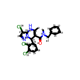 CC1=C(C(=O)N(C)[C@@H](C)c2ccccc2)C(c2cccc(Cl)c2Cl)n2ncc(Cl)c2N1